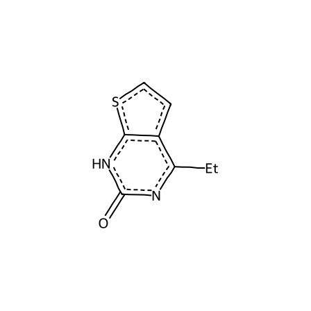 CCc1nc(=O)[nH]c2sccc12